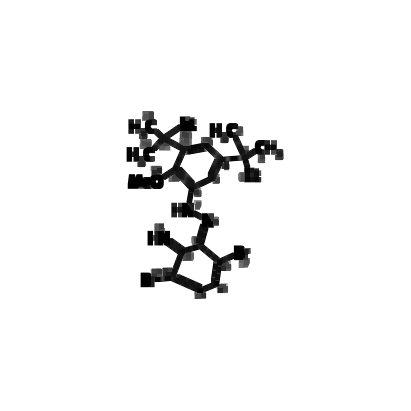 CCC(C)(C)c1cc(N/N=C2\C(=N)C(Br)=CC=C2Br)c(OC)c(C(C)(C)CC)c1